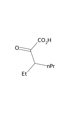 [CH2]CC(CCC)C(=O)C(=O)O